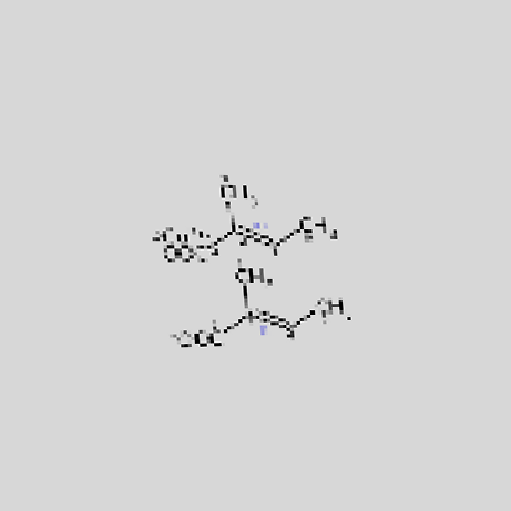 C/C=C(\C)C(=O)[O-].C/C=C(\C)C(=O)[O-].[Cu+2]